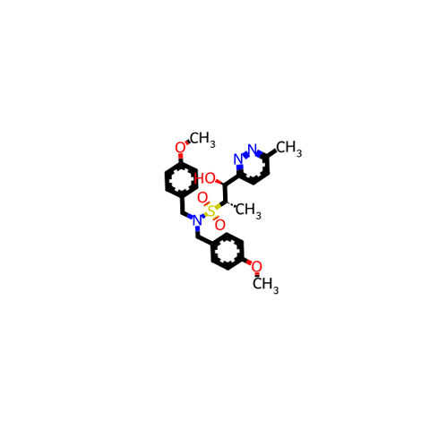 COc1ccc(CN(Cc2ccc(OC)cc2)S(=O)(=O)[C@@H](C)[C@@H](O)c2ccc(C)nn2)cc1